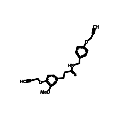 C#CCOc1ccc(CNC(=S)CCc2ccc(OCC#C)c(OC)c2)cc1